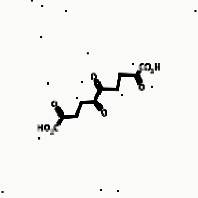 O=C(O)C(=O)CCC(=O)C(=O)CCC(=O)C(=O)O